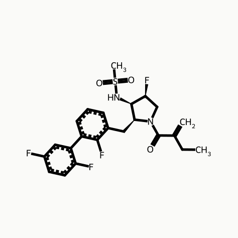 C=C(CC)C(=O)N1C[C@H](F)[C@H](NS(C)(=O)=O)[C@@H]1Cc1cccc(-c2cc(F)ccc2F)c1F